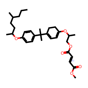 CCCC(C)CCC(C)Oc1ccc(C(C)(C)C2=CC=C(OC(C)COC(=O)/C=C/C(=O)OC)CC2)cc1